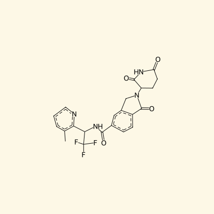 Cc1cccnc1C(NC(=O)c1ccc2c(c1)CN(C1CCC(=O)NC1=O)C2=O)C(F)(F)F